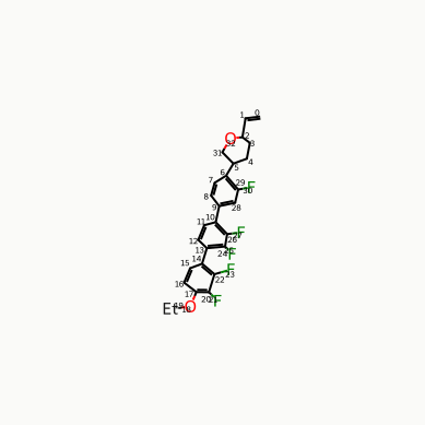 C=CC1CCC(c2ccc(-c3ccc(-c4ccc(OCC)c(F)c4F)c(F)c3F)cc2F)CO1